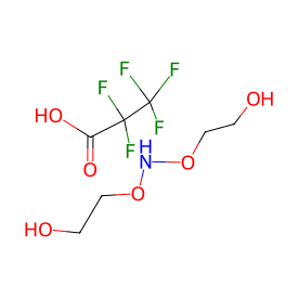 O=C(O)C(F)(F)C(F)(F)F.OCCONOCCO